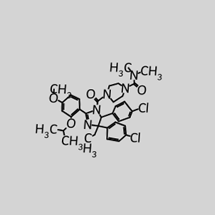 CCC1(c2ccc(Cl)cc2)N=C(c2ccc(OC)cc2OC(C)C)N(C(=O)N2CCN(C(=O)N(C)C)CC2)C1c1ccc(Cl)cc1